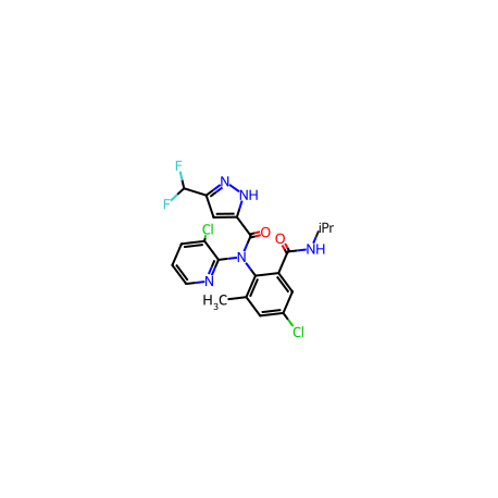 Cc1cc(Cl)cc(C(=O)NC(C)C)c1N(C(=O)c1cc(C(F)F)n[nH]1)c1ncccc1Cl